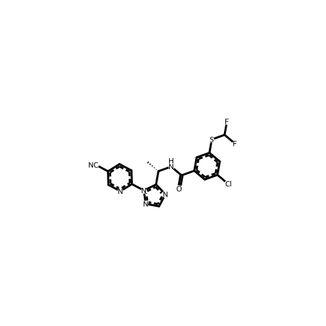 C[C@H](NC(=O)c1cc(Cl)cc(SC(F)F)c1)c1ncnn1-c1ccc(C#N)cn1